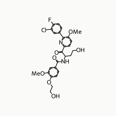 COc1cc(C(=O)NC(CCO)C(=O)c2ccc(OC)c(-c3ccc(F)c(Cl)c3)n2)ccc1OCCO